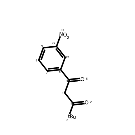 CC(C)(C)C(=O)CC(=O)c1cccc([N+](=O)[O-])c1